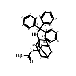 CC(=O)OC12CC3CC(CC(NC(c4ccccc4)(c4ccccc4)c4ccccc4)(C3)C1)C2